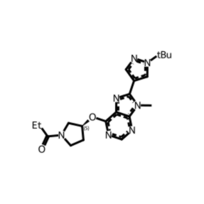 CCC(=O)N1CC[C@H](Oc2ncnc3c2nc(-c2cnn(C(C)(C)C)c2)n3C)C1